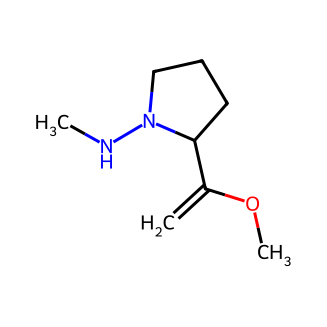 C=C(OC)C1CCCN1NC